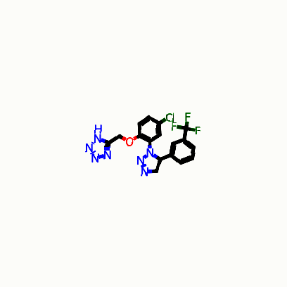 FC(F)(F)c1cccc(C2CN=NN2c2cc(Cl)ccc2OCc2nnn[nH]2)c1